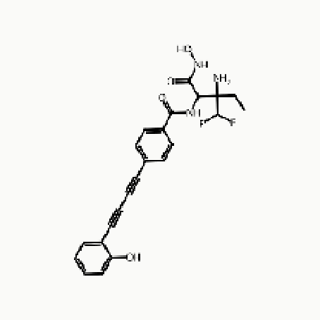 CCC(N)(C(F)F)C(NC(=O)c1ccc(C#CC#Cc2ccccc2O)cc1)C(=O)NO